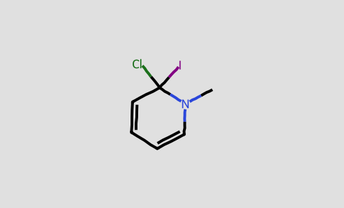 CN1C=CC=CC1(Cl)I